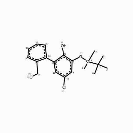 CC(C)(C)[Si](C)(C)Oc1cc(Cl)cc(-c2ccccc2CO)c1O